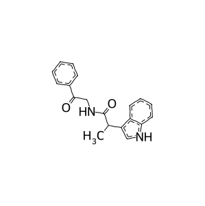 CC(C(=O)NCC(=O)c1ccccc1)c1c[nH]c2ccccc12